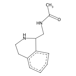 CC(=O)NCC1NCCc2ccccc21